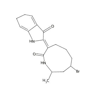 CC1CC(Br)CCC/C(=C2/NC3=CCCC=C3C2=O)C(=O)N1